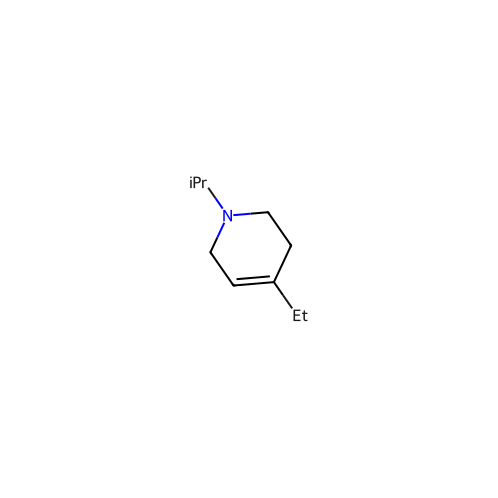 CCC1=CCN(C(C)C)CC1